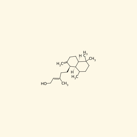 C=C1CC[C@@H]2[C@@H](C(C)CCC2(C)C)[C@H]1CC/C(C)=C/CO